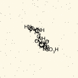 O=C(NOC[C@@H]1C[C@@H](N2CCNC2)CN1)[C@@H]1CC[C@@H]2CN1C(=O)N2OS(=O)(=O)O